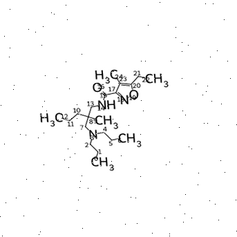 CCCN(CCC)CC(C)(CCC)CNC(=O)c1noc(CC)c1C